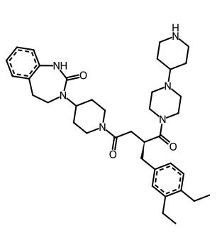 CCc1ccc(C[C@@H](CC(=O)N2CCC(N3CCc4ccccc4NC3=O)CC2)C(=O)N2CCN(C3CCNCC3)CC2)cc1CC